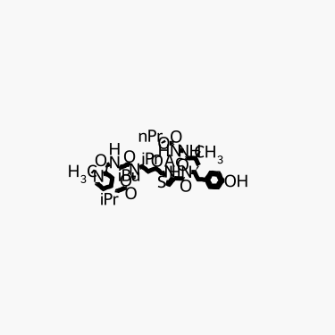 CCCOC(=O)NNC(=O)[C@@H](C)C[C@H](Cc1ccc(O)cc1)NC(=O)c1csc([C@@H](C[C@H](C(C)C)N(COC(=O)CC(C)C)C(=O)[C@@H](NC(=O)[C@H]2CCCCN2C)C(C)CC)OC(C)=O)n1